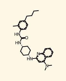 CCCCc1ccc(NC(=O)N[C@H]2CC[C@@H](Nc3cc(N(C)C)c4ccccc4n3)CC2)c(C)c1